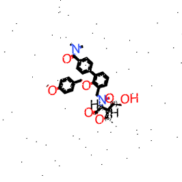 COc1ccc(COc2c(CN3O[C@@H](CO)[C@H]4[C@H](C)OC(=O)[C@H]43)cccc2-c2ccc(C(=O)N(C)C)cc2)cc1